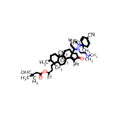 CCC(CCC1(C)C(C)CCC2(C)C1CCC1C3=C(C(C)C)C(=O)CC3(/C(=C/C=O)N(CCN(C)C)N(C)C3(C)C=CC(C#N)=CC3)CC[C@]12C)OC(=O)CC(C)(C)C=O